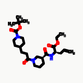 C=CC[C@H](NC(=O)[C@@H]1CCCN(C(=O)CCC2CCN(C(=O)OC(C)(C)C)CC2)C1)C(=O)OCC